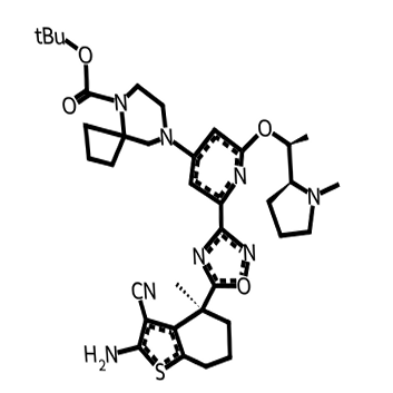 C[C@H](Oc1cc(N2CCN(C(=O)OC(C)(C)C)C3(CCC3)C2)cc(-c2noc([C@@]3(C)CCCc4sc(N)c(C#N)c43)n2)n1)[C@@H]1CCCN1C